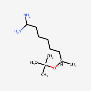 C[SiH](CCCCCC(N)N)O[Si](C)(C)C